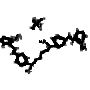 CN(CCCCCN(C)c1ccc(N=Nc2scc[n+]2C)cc1)c1ccc(N=Nc2scc[n+]2C)cc1.O=S(=O)([O-])[O-]